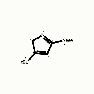 CNC1=NCC(C(C)(C)C)=C1